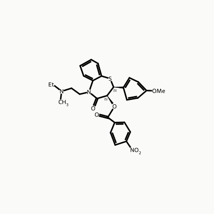 CCN(C)CCN1C(=O)[C@H](OC(=O)c2ccc([N+](=O)[O-])cc2)[C@H](c2ccc(OC)cc2)Sc2ccccc21